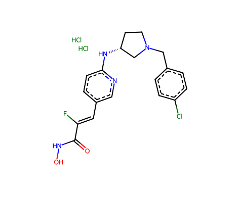 Cl.Cl.O=C(NO)C(F)=Cc1ccc(N[C@@H]2CCN(Cc3ccc(Cl)cc3)C2)nc1